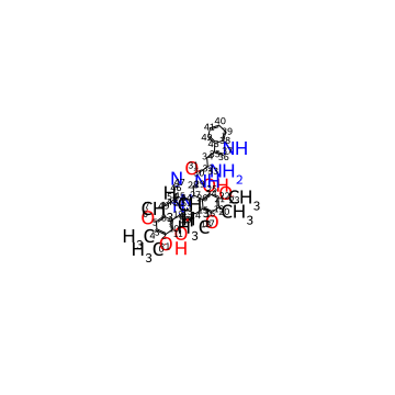 COc1c(C)c(OC)c2c(c1O)[C@H]1[C@@H]3Cc4c(OC)c(C)c(OC)c(O)c4[C@H](CNC(=O)[C@@H](N)Cc4c[nH]c5ccccc45)N3[C@@H](C#N)[C@@H](C2)N1C